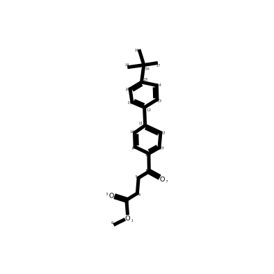 COC(=O)CCC(=O)c1ccc(-c2ccc(C(C)(C)C)cc2)cc1